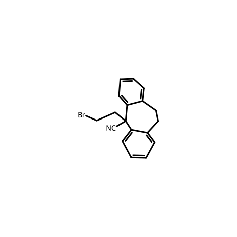 N#CC1(CCBr)c2ccccc2CCc2ccccc21